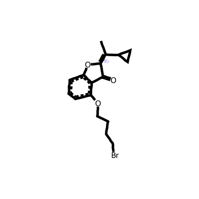 C/C(=C1\Oc2cccc(OCCCCBr)c2C1=O)C1CC1